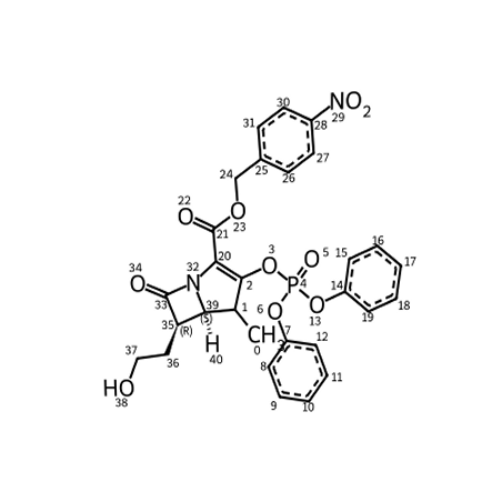 CC1C(OP(=O)(Oc2ccccc2)Oc2ccccc2)=C(C(=O)OCc2ccc([N+](=O)[O-])cc2)N2C(=O)[C@H](CCO)[C@H]12